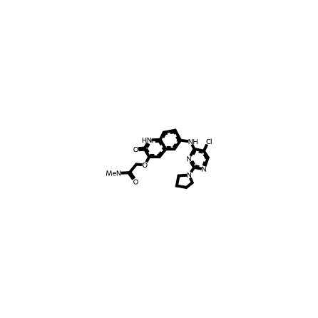 CNC(=O)COc1cc2cc(Nc3nc(N4CCCC4)ncc3Cl)ccc2[nH]c1=O